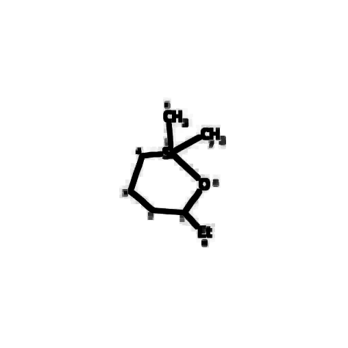 CCC1CCC[Si](C)(C)O1